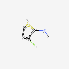 CNc1sccc1F